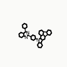 c1ccc(-c2nc(-c3ccc(-n4c5ccccc5c5cc6c7c(cccc7c54)-c4ccccc4-6)cc3)nc3ccccc23)cc1